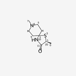 C[C@@H]1SC2(CCN(C)CC2)NC1=O